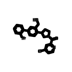 CC(C)c1ccccc1-c1ccc(C2CCN(C(=O)c3cc(Cl)ccn3)C2)c(CO)c1